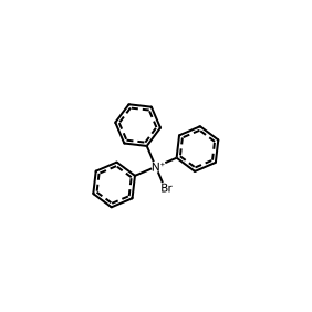 Br[N+](c1ccccc1)(c1ccccc1)c1ccccc1